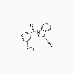 Cc1cccc(C(=O)n2cc(C#N)c3ccccc32)c1